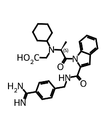 C[C@@H](C(=O)n1c(C(=O)NCc2ccc(C(=N)N)cc2)cc2ccccc21)N(CC(=O)O)C1CCCCC1